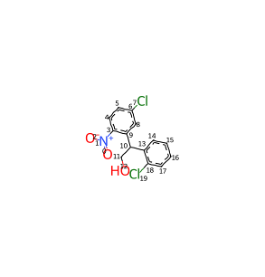 O=[N+]([O-])c1ccc(Cl)cc1C(CO)c1ccccc1Cl